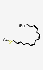 CC[C@@H](C)CC/C=C\C/C=C\C/C=C\CC/C=C/CSC(C)=O